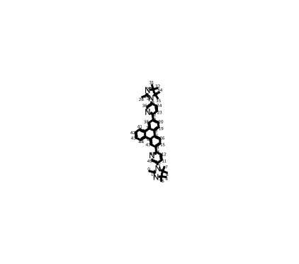 CC1=NC(C)(C)C(C)(C)N1c1ccc(-c2ccc3c4ccc(-c5ccc(N6C(C)=NC(C)(C)C6(C)C)cn5)cc4c4ccccc4c3c2)nc1